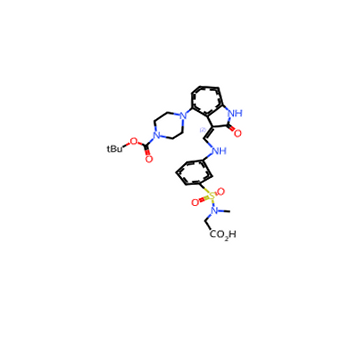 CN(CC(=O)O)S(=O)(=O)c1cccc(N/C=C2\C(=O)Nc3cccc(N4CCN(C(=O)OC(C)(C)C)CC4)c32)c1